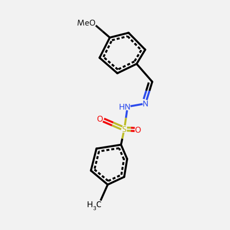 COc1ccc(/C=N\NS(=O)(=O)c2ccc(C)cc2)cc1